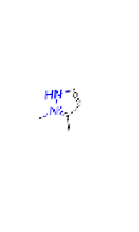 Cc1cc[nH][n+]1C